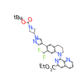 CCOC(=O)c1cc2cccnc2c(N2CCCc3cc(-c4cnn(C5CN(C(=O)OC(C)(C)C)C5)c4)c(C(F)F)cc32)n1